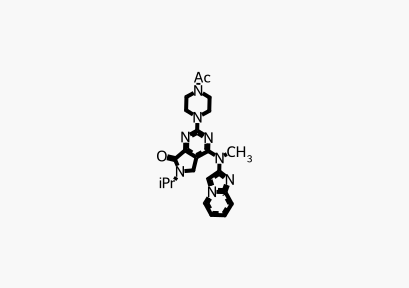 CC(=O)N1CCN(c2nc3c(c(N(C)c4cn5ccccc5n4)n2)CN(C(C)C)C3=O)CC1